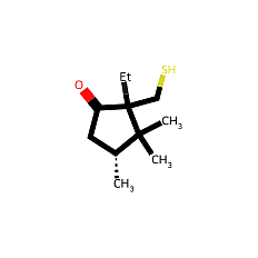 CCC1(CS)C(=O)C[C@@H](C)C1(C)C